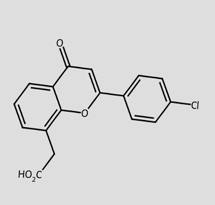 O=C(O)Cc1cccc2c(=O)cc(-c3ccc(Cl)cc3)oc12